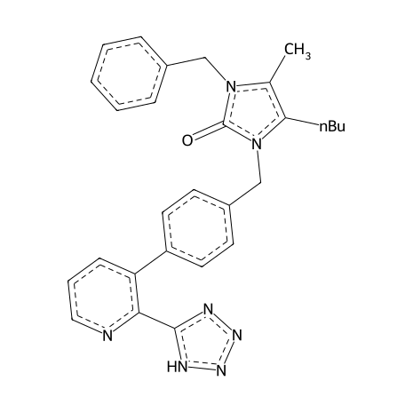 CCCCc1c(C)n(Cc2ccccc2)c(=O)n1Cc1ccc(-c2cccnc2-c2nnn[nH]2)cc1